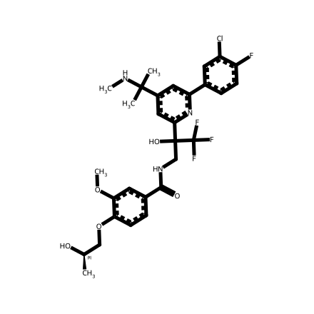 CNC(C)(C)c1cc(-c2ccc(F)c(Cl)c2)nc(C(O)(CNC(=O)c2ccc(OC[C@@H](C)O)c(OC)c2)C(F)(F)F)c1